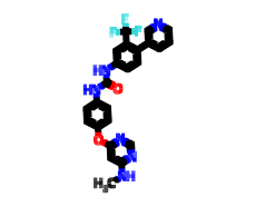 CNc1cc(Oc2ccc(NC(=O)Nc3ccc(-c4cccnc4)c(C(F)(F)F)c3)cc2)ncn1